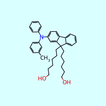 Cc1cccc(N(c2ccccc2)c2ccc3c(c2)C(CCCCCCO)(CCCCCCO)c2ccccc2-3)c1